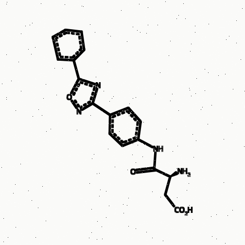 N[C@@H](CC(=O)O)C(=O)Nc1ccc(-c2noc(-c3ccccc3)n2)cc1